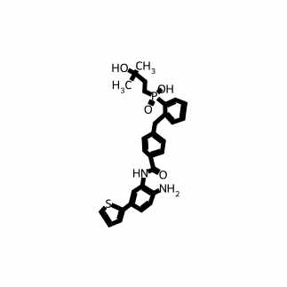 CC(C)(O)CCP(=O)(O)c1ccccc1Cc1ccc(C(=O)Nc2cc(-c3cccs3)ccc2N)cc1